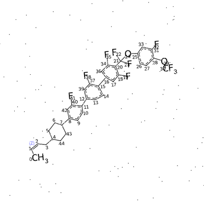 C/C=C\CC1CCC(c2ccc(-c3ccc(-c4cc(F)c(C(F)(F)Oc5ccc(OC(F)(F)F)c(F)c5)c(F)c4)c(F)c3)c(F)c2)CC1